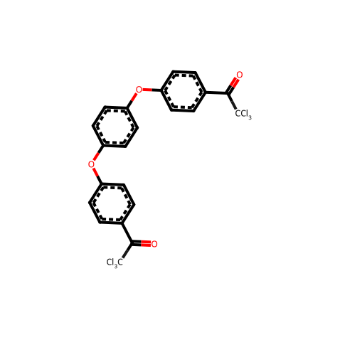 O=C(c1ccc(Oc2ccc(Oc3ccc(C(=O)C(Cl)(Cl)Cl)cc3)cc2)cc1)C(Cl)(Cl)Cl